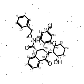 O=C(NOCc1ccccc1)[C@@H]1c2ccccc2C(=O)N([C@H]2CCCC[C@@H]2O)[C@H]1c1ccc(Cl)cc1Cl